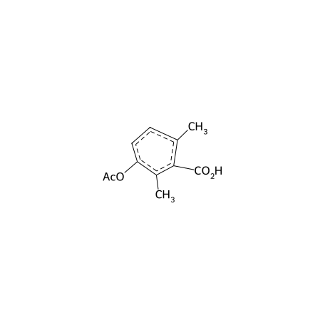 CC(=O)Oc1ccc(C)c(C(=O)O)c1C